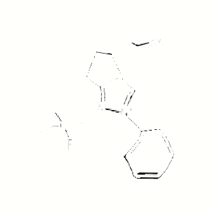 CC(C)(C)C[C@H]1CCc2n[n+](-c3ccccc3)cn21.F[B-](F)(F)F